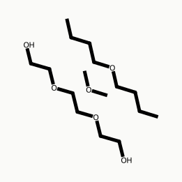 CCCCOCCCC.COC.OCCOCCOCCO